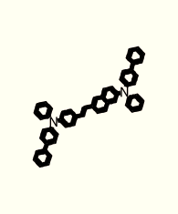 C(=C\c1ccc2cc(N(c3ccccc3)c3ccc(-c4ccccc4)cc3)ccc2c1)/c1ccc(N(c2ccccc2)c2ccc(-c3ccccc3)cc2)cc1